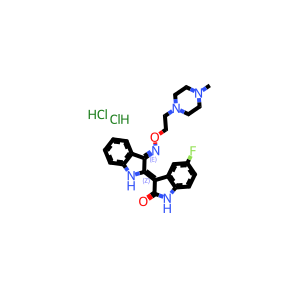 CN1CCN(CCO/N=C2/C(=C3/C(=O)Nc4ccc(F)cc43)Nc3ccccc32)CC1.Cl.Cl